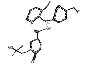 CC(C)(O)Cn1cc(C(=O)N[C@@H](c2ccc(CF)cc2)c2ncccc2F)ccc1=O